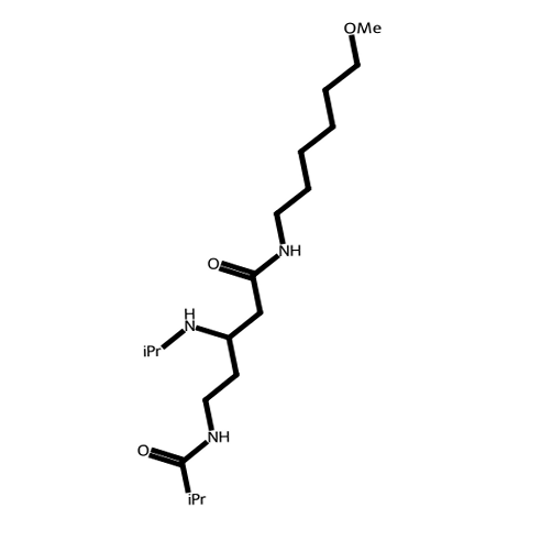 COCCCCCCNC(=O)CC(CCNC(=O)C(C)C)NC(C)C